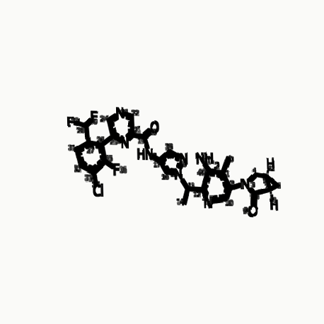 Cc1c(N2C[C@H]3C[C@H]3C2=O)cnc(C(C)n2cc(NC(=O)c3cncc(-c4c(C(F)F)ccc(Cl)c4F)n3)cn2)c1N